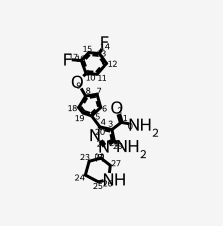 NC(=O)c1c(-c2ccc(Oc3ccc(F)cc3F)cc2)nn([C@H]2CCCNC2)c1N